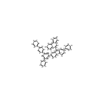 c1ccc(-c2ccc(-c3nc(-c4ccccc4)nc(-c4ccc5c6ccc(-c7ccccc7)cc6n(-c6cc7ccccc7c7ccccc67)c5c4)n3)cc2)cc1